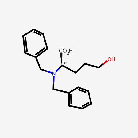 O=C(O)[C@@H](CCCO)N(Cc1ccccc1)Cc1ccccc1